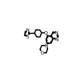 c1csc(C2CCC(Oc3cc(N4CCOCC4)cc4ncncc34)CC2)n1